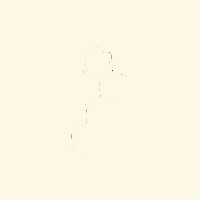 NCCNC(=O)c1ccccc1F